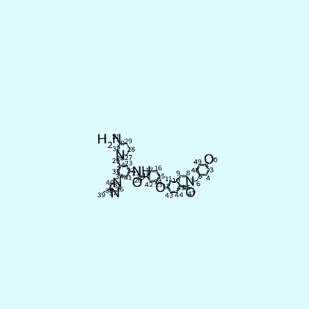 COc1ccc(Cn2ccc3cc(Oc4cccc(C(=O)Nc5cc(CN6CCCC(N)C6)cc(-n6cnc(C)c6)c5)c4)ccc3c2=O)cc1